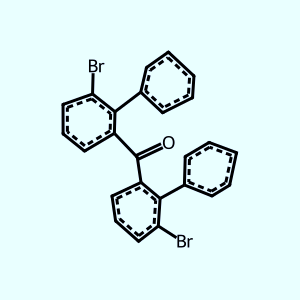 O=C(c1cccc(Br)c1-c1ccccc1)c1cccc(Br)c1-c1ccccc1